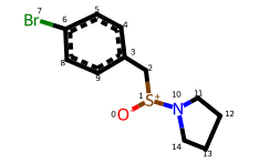 [O-][S+](Cc1ccc(Br)cc1)N1CCCC1